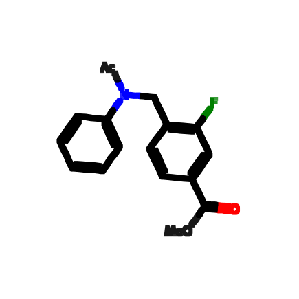 COC(=O)c1ccc(CN(C(C)=O)c2ccccc2)c(F)c1